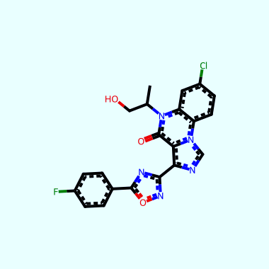 CC(CO)n1c(=O)c2c(-c3noc(-c4ccc(F)cc4)n3)ncn2c2ccc(Cl)cc21